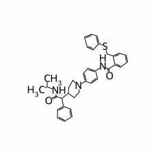 CC(C)NC(=O)C(c1ccccc1)C1CCN(c2ccc(NC(=O)c3ccccc3CSc3ccccc3)cc2)CC1